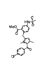 COC(=O)c1cc(NS(C)(=O)=O)ccc1Cc1cc(C)c(C(=O)c2ccc(Cl)cc2)n1C